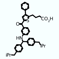 CC(C)Cc1ccc(C(Nc2cccc(C(=O)c3cc(-c4ccccc4)c(CCCC(=O)O)s3)c2)c2ccc(CC(C)C)cc2)cc1